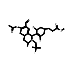 COC(=O)CCC1CC(F)=C(C2C3=CC(C=O)=C(OC(C)=O)CC3CC(C)N2CC(C)(C)F)C(F)C1